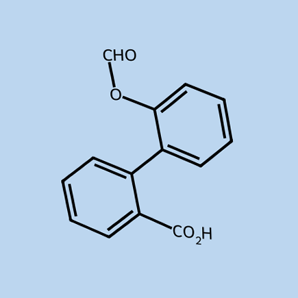 O=COc1ccccc1-c1ccccc1C(=O)O